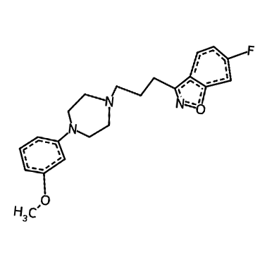 COc1cccc(N2CCN(CCCc3noc4cc(F)ccc34)CC2)c1